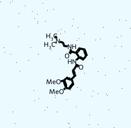 COc1ccc(C=CC(=O)Nc2ccccc2C(=O)NCCN(C)C)cc1OC